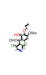 C=CCOc1c(OC)ccc(C(C=O)c2c(Cl)cncc2Cl)c1O